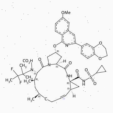 COc1ccc2c(O[C@@H]3C[C@H]4C(=O)N[C@]5(C(=O)NS(=O)(=O)C6CC6)C[C@H]5/C=C\CC[C@@H](C)C[C@@H](C)[C@H](N(C(=O)O)C(C)(C)C(C)(F)F)C(=O)N4C3)nc(-c3ccc4c(c3)OCCO4)cc2c1